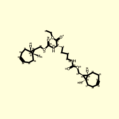 CCOC(=O)[C@H](CCCCNC(=O)OC[C@@H]1[C@@H]2CCC#CCC[C@@H]21)NC(=O)OCC1[C@H]2CCC#CCC[C@@H]12